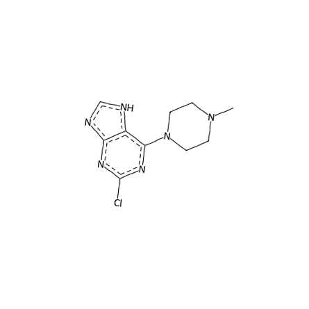 CN1CCN(c2nc(Cl)nc3nc[nH]c23)CC1